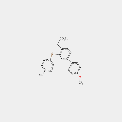 CCOC(=O)Cc1ccc(-c2ccc(OC(F)(F)F)cc2)cc1Sc1ccc(C(C)(C)C)cc1